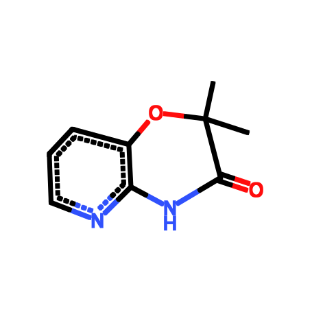 CC1(C)Oc2cccnc2NC1=O